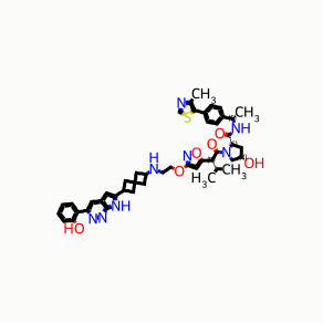 Cc1ncsc1-c1ccc([C@H](C)NC(=O)[C@@H]2C[C@@H](O)CN2C(=O)[C@@H](c2cc(OCCNC3CC4(C3)CC(c3cc5cc(-c6ccccc6O)nnc5[nH]3)C4)no2)C(C)C)cc1